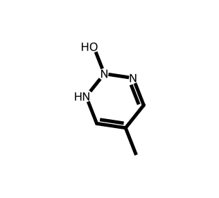 CC1=CNN(O)N=C1